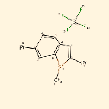 CC(C)c1ccc2cc(C(C)C)[s+](C(F)(F)F)c2c1.F[B-](F)(F)F